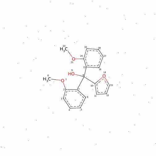 COc1ccccc1C(O)(c1ccco1)c1ccccc1OC